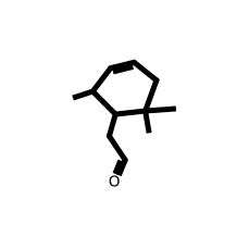 CC1C=CCC(C)(C)C1CC=O